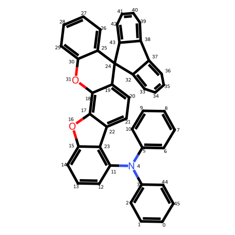 c1ccc(N(c2ccccc2)c2cccc3oc4c5c(ccc4c23)C2(c3ccccc3O5)c3ccccc3-c3ccccc32)cc1